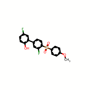 COc1ccc(S(=O)(=O)c2ccc(-c3cc(F)ccc3O)cc2F)cc1